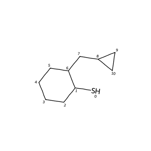 SC1CCCCC1CC1CC1